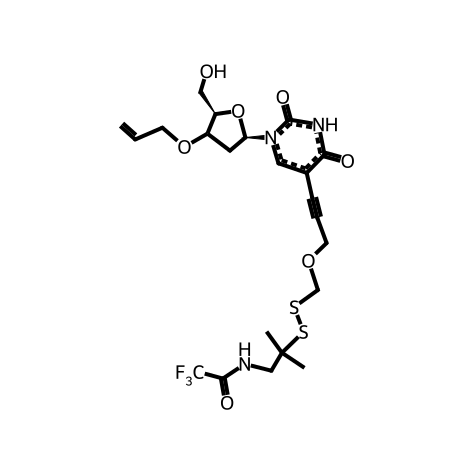 C=CCOC1C[C@H](n2cc(C#CCOCSSC(C)(C)CNC(=O)C(F)(F)F)c(=O)[nH]c2=O)O[C@@H]1CO